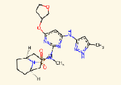 CCS(=O)(=O)N1[C@@H]2CCC[C@H]1CC(N(C)c1nc(Nc3cc(C)[nH]n3)cc(OC3CCOC3)n1)C2